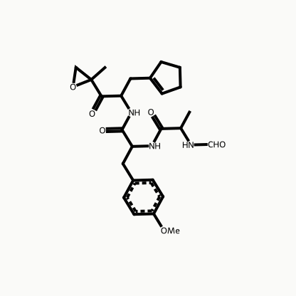 COc1ccc(CC(NC(=O)C(C)NC=O)C(=O)NC(CC2=CCCC2)C(=O)C2(C)CO2)cc1